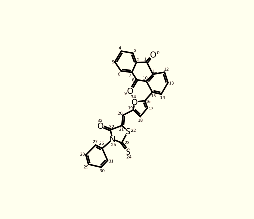 O=C1c2ccccc2C(=O)c2c1cccc2-c1ccc(/C=C2\SC(=S)N(c3ccccc3)C2=O)o1